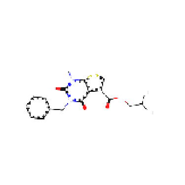 CC(C)COC(=O)c1csc2c1c(=O)n(Cc1ccccc1)c(=O)n2C